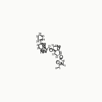 C=CC(=O)N(C)CCOc1ccc2c(OCc3nnc4ccc(-c5ccccc5)nn34)ccnc2c1